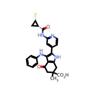 CC1(C(=O)O)CC(=O)c2c([nH]c(-c3ccnc(NC(=O)[C@@H]4C[C@@H]4F)c3)c2Nc2ccccc2)C1